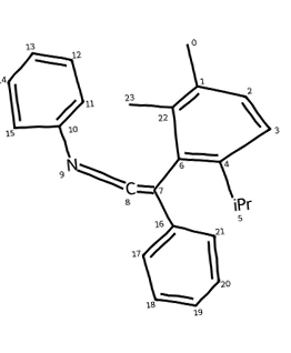 Cc1ccc(C(C)C)c(C(=C=Nc2ccccc2)c2ccccc2)c1C